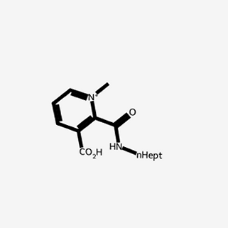 CCCCCCCNC(=O)c1c(C(=O)O)ccc[n+]1C